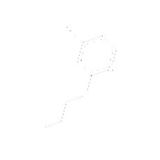 Nc1ccnc(SCCO)c1